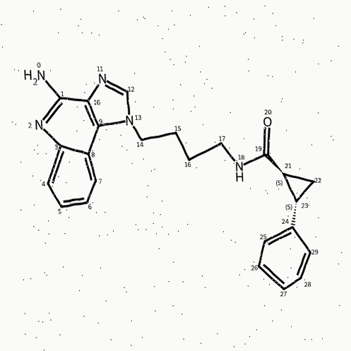 Nc1nc2ccccc2c2c1ncn2CCCCNC(=O)[C@H]1C[C@@H]1c1ccccc1